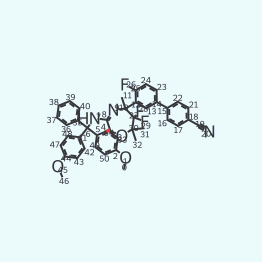 COc1ccc(C(NC2=NC(C)(c3cc(-c4ccc(C#N)cc4)ccc3F)C(F)(F)C(C)(C)OC2)(c2ccccc2)c2ccc(OC)cc2)cc1